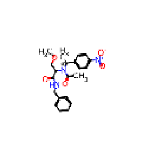 COCC(C(=O)NCc1ccccc1)N(C(C)=O)[C@@H](C)c1ccc([N+](=O)[O-])cc1